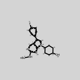 CCCCNc1ncc2c(-c3ccc(F)cc3)cn(C3CCC(O)CC3)c2n1